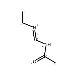 CC/N=C/NC(C)=O